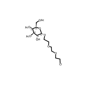 CC(=O)OC[C@H]1O[C@H](OCCOCCOCCCl)[C@H](O)[C@@H](OC(C)=O)[C@H]1OC(C)=O